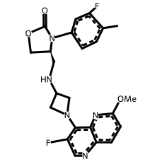 COc1ccc2ncc(F)c(N3CC(NC[C@H]4COC(=O)N4c4ccc(C)c(F)c4)C3)c2n1